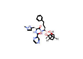 Cn1ccc(C[C@@H](NC(=O)c2cnccn2)C(=O)N[C@@H](CCCc2ccccc2)B2O[C@@H]3C[C@@H]4C[C@@H](C4(C)C)[C@]3(C)O2)n1